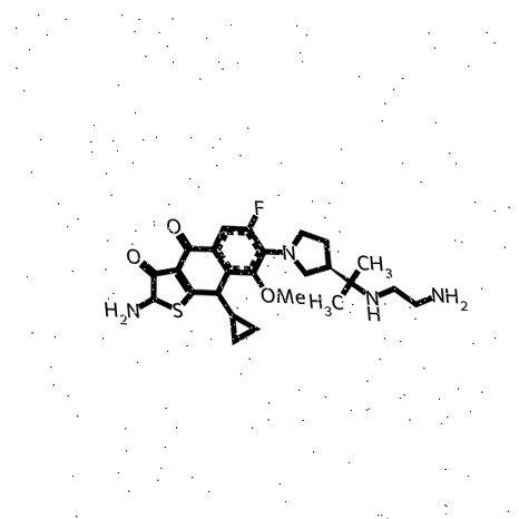 COc1c2c(cc(F)c1N1CC[C@@H](C(C)(C)NCCN)C1)C(=O)C1=C(SC(N)C1=O)C2C1CC1